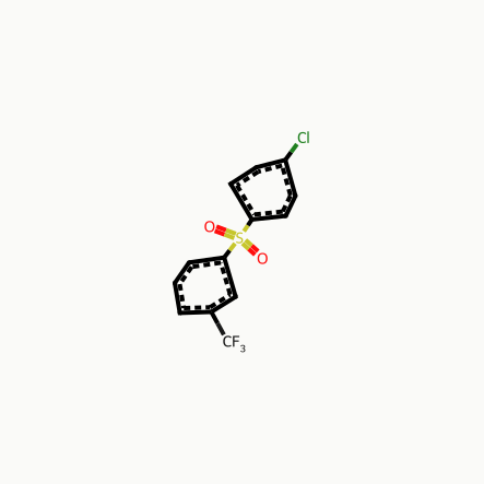 O=S(=O)(c1ccc(Cl)cc1)c1cccc(C(F)(F)F)c1